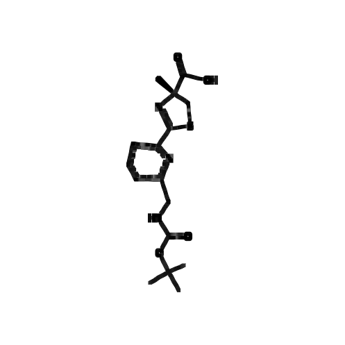 CC(C)(C)OC(=O)NCc1cccc(C2=N[C@](C)(C(=O)O)CS2)n1